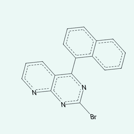 Brc1nc(-c2cccc3ccccc23)c2cccnc2n1